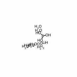 O.O.O.O.O.O.O.O.OB(O)O.[LiH]